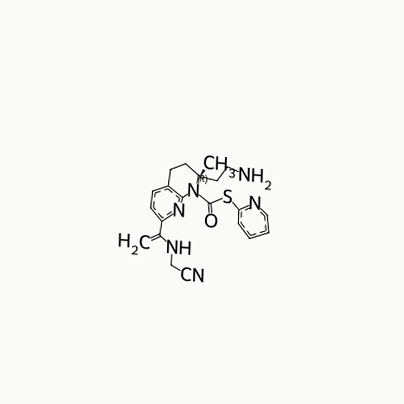 C=C(NCC#N)c1ccc2c(n1)N(C(=O)Sc1ccccn1)[C@@](C)(CCN)CC2